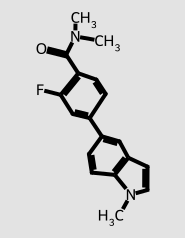 CN(C)C(=O)c1ccc(-c2ccc3c(ccn3C)c2)cc1F